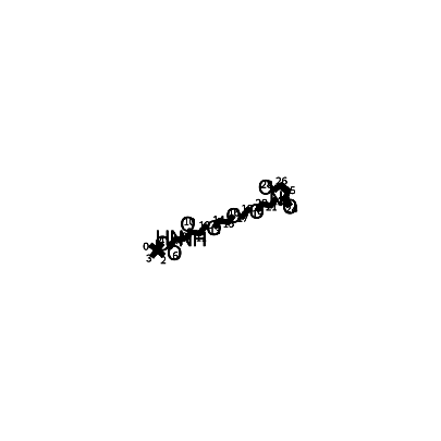 CC(C)(C)OC(=O)NNC(=O)CCOCCOCCOCCN1C(=O)C=CC1=O